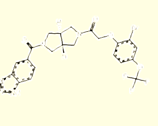 O=C(COc1ccc(OC(F)(F)F)cc1Br)N1C[C@@H]2CN(C(=O)c3ccc4[nH]nnc4c3)C[C@H]2C1